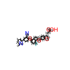 Cc1cccc(-c2ccc(Oc3ccc(F)c4c3CC[C@H]4Oc3ccc4c(c3)OC[C@H]4CCC(=O)O)c(C#N)c2)n1